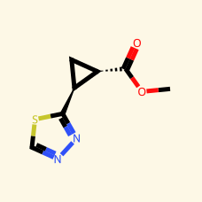 COC(=O)[C@H]1C[C@@H]1c1nncs1